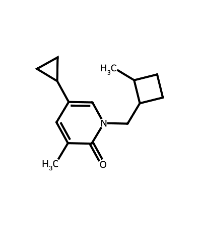 Cc1cc(C2CC2)cn(CC2CCC2C)c1=O